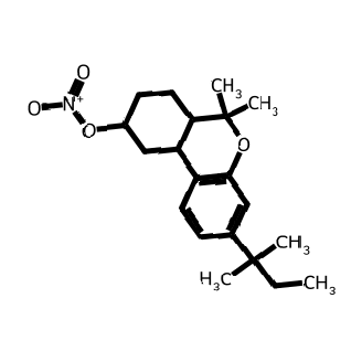 CCC(C)(C)c1ccc2c(c1)OC(C)(C)C1CCC(O[N+](=O)[O-])CC21